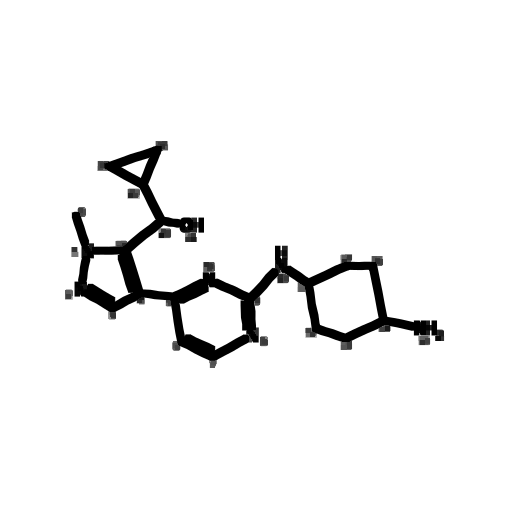 Cn1ncc(-c2ccnc(NC3CCC(N)CC3)n2)c1C(O)C1CC1